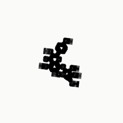 O=c1c(O)c(-c2ccc(O)cc2)oc2c(OC3OC4C(O)C4(O)C3O)c(O)cc(O)c12